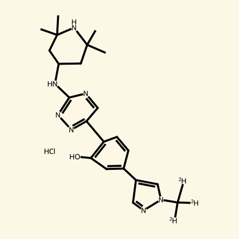 Cl.[2H]C([2H])([2H])n1cc(-c2ccc(-c3cnc(NC4CC(C)(C)NC(C)(C)C4)nn3)c(O)c2)cn1